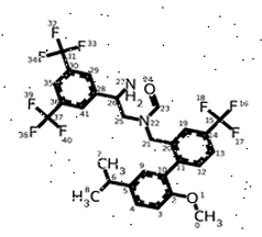 COc1ccc(C(C)C)cc1-c1ccc(C(F)(F)F)cc1CN(C=O)CC(N)c1cc(C(F)(F)F)cc(C(F)(F)F)c1